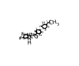 CC[C@H]1CC[C@H](c2ccc(C(=O)Nc3c[nH]c4cc(F)c(F)cc34)cc2)CC1